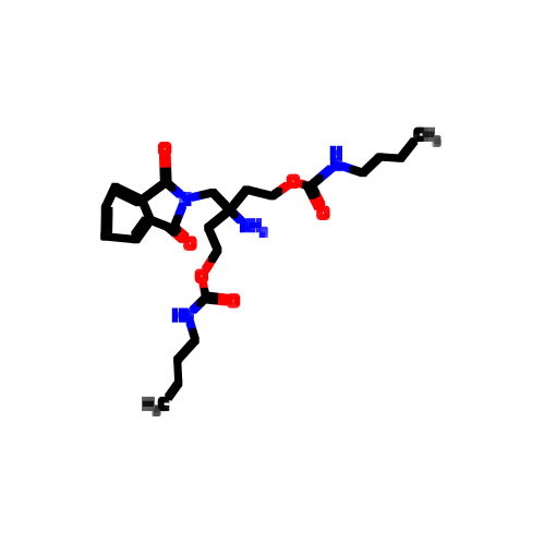 CCCCNC(=O)OCCC(N)(CCOC(=O)NCCCC)CN1C(=O)c2ccccc2C1=O